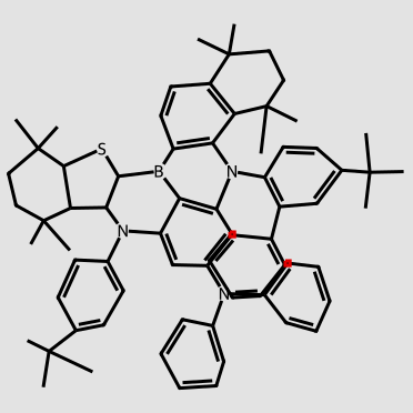 CC(C)(C)c1ccc(N2c3cc(N(c4ccccc4)c4ccccc4)cc4c3B(c3ccc5c(c3N4c3ccc(C(C)(C)C)cc3-c3ccccc3)C(C)(C)CCC5(C)C)C3SC4C(C32)C(C)(C)CCC4(C)C)cc1